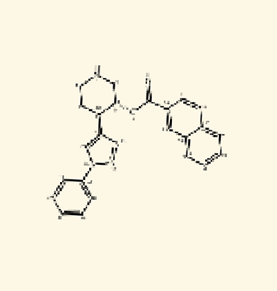 O=C(O[C@H]1CNCC[C@@H]1c1cn(-c2ccccc2)nn1)c1ccc2ccccc2c1